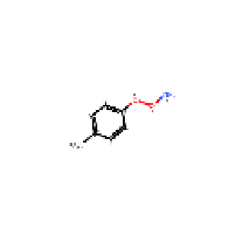 NOOc1ccc(C(=O)O)cc1